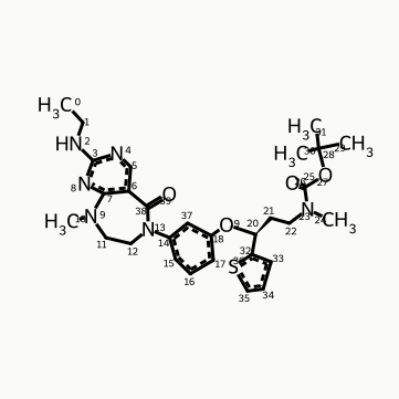 CCNc1ncc2c(n1)N(C)CCN(c1cccc(O[C@@H](CCN(C)C(=O)OC(C)(C)C)c3cccs3)c1)C2=O